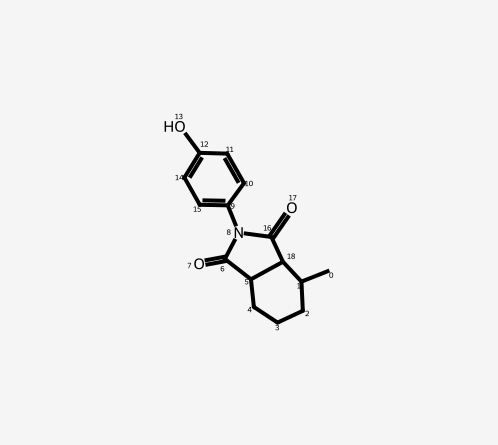 CC1CCCC2C(=O)N(c3ccc(O)cc3)C(=O)C12